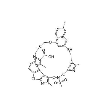 Cc1nn(C)c2c1-c1c(Cl)ccc3c1c(C)c(C(=O)O)n3CCCOc1cc(cc3cc(F)ccc13)BCc1cc(nn1C)CN(S(C)(=O)=O)C2